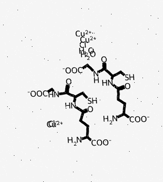 NC(CCC(=O)NC(CS)C(=O)NCC(=O)[O-])C(=O)[O-].NC(CCC(=O)NC(CS)C(=O)NCC(=O)[O-])C(=O)[O-].O.O.[Cl-].[Cl-].[Cu+2].[Cu+2].[Cu+2]